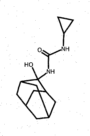 O=C(NC1CC1)NC1(O)C2CC3CC(C2)CC1C3